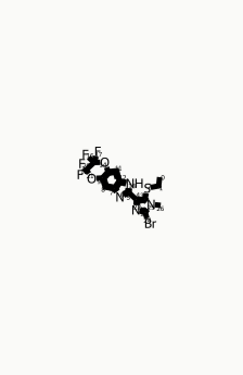 CCSc1c(-c2nc3cc4c(cc3[nH]2)OC(F)(F)C(F)(F)O4)nc(Br)n1C